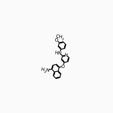 COc1cccc(Nc2cc(Oc3ccc(N)c4ccccc34)ccn2)c1